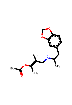 CCC(C)C(=O)O/C(C)=C(\C)CNC(C)Cc1ccc2c(c1)OCO2